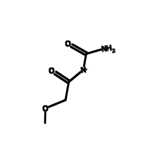 COCC(=O)[N]C(N)=O